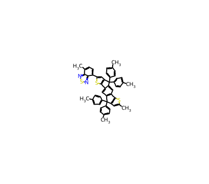 Cc1ccc(C2(c3ccc(C)cc3)c3cc4c(cc3-c3sc(C)cc32)C(c2ccc(C)cc2)(c2ccc(C)cc2)c2cc(-c3ccc(C)c5nsnc35)sc2-4)cc1